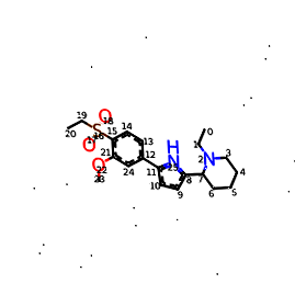 CCN1CCCCC1c1ccc(-c2ccc(S(=O)(=O)CC)c(OC)c2)[nH]1